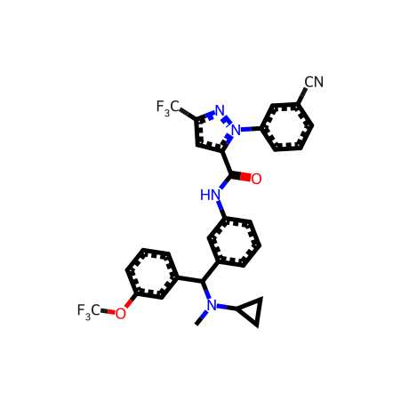 CN(C1CC1)C(c1cccc(NC(=O)c2cc(C(F)(F)F)nn2-c2cccc(C#N)c2)c1)c1cccc(OC(F)(F)F)c1